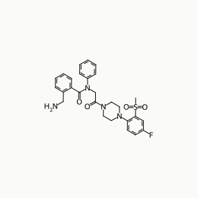 CS(=O)(=O)c1cc(F)ccc1N1CCN(C(=O)CN(C(=O)c2ccccc2CN)c2ccccc2)CC1